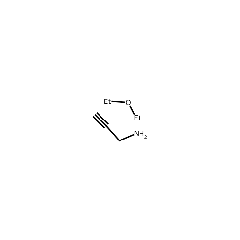 C#CCN.CCOCC